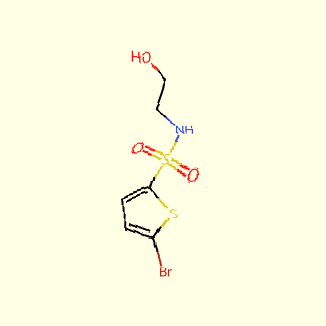 O=S(=O)(NCCO)c1ccc(Br)s1